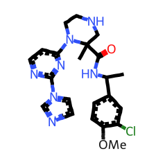 COc1ccc(C(C)NC(=O)C2(C)CNCCN2c2ccnc(-n3ccnc3)n2)cc1Cl